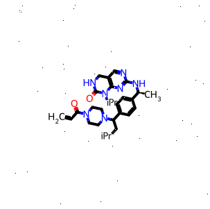 C=CC(=O)N1CCN(C(CC(C)C)c2ccc([C@H](C)Nc3ncc4c(n3)N(C(C)C)C(=O)NC4)cc2)CC1